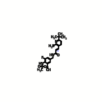 Bc1nc(C(C)(C)C)ccc1/C=C/C(=O)NCc1cc(F)c(NS(C)(=O)=O)c(C#C)c1